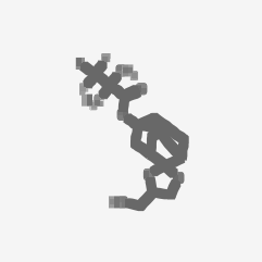 CC(C)(C(=O)OC12CC3CC(C1)C1(OCC(CO)O1)C(C3)C2)C(F)(F)F